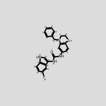 O=C(Nc1ccc2c(c1)N(Cc1ccccc1)CCS2)Nc1c[nH]c2ccc(F)cc12